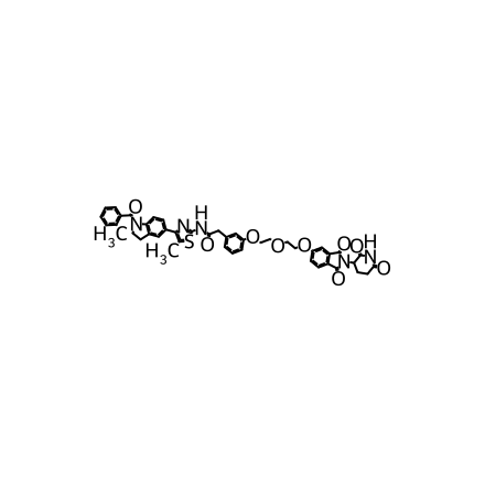 Cc1ccccc1C(=O)N1CCc2cc(-c3nc(NC(=O)Cc4cccc(OCCOCCOc5ccc6c(c5)C(=O)N(C5CCC(=O)NC5=O)C6=O)c4)sc3C)ccc21